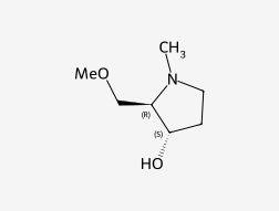 COC[C@@H]1[C@@H](O)CCN1C